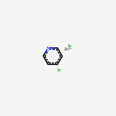 [Br-].[Br-].[Zn+2].c1ccncc1